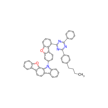 CCCCc1ccc(-c2nc(-c3ccccc3)nc(-c3cccc4oc5cc(-n6c7ccccc7c7ccc8c9ccccc9oc8c76)ccc5c34)n2)cc1